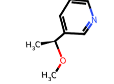 CO[C@@H](C)c1cccnc1